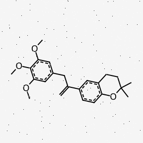 C=C(Cc1cc(OC)c(OC)c(OC)c1)c1ccc2c(c1)CCC(C)(C)O2